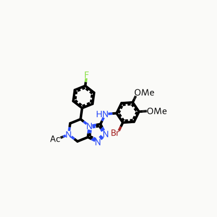 COc1cc(Br)c(Nc2nnc3n2C(c2ccc(F)cc2)CN(C(C)=O)C3)cc1OC